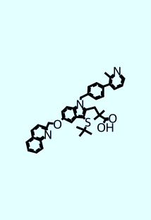 Cc1ncccc1-c1ccc(Cn2c(CC(C)(C)C(=O)O)c(SC(C)(C)C)c3cc(OCc4ccc5ccccc5n4)ccc32)cc1